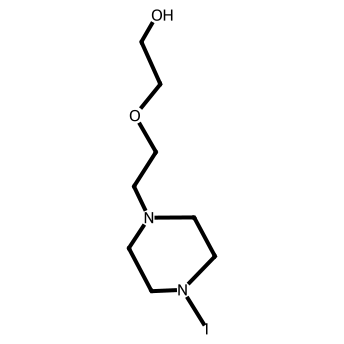 OCCOCCN1CCN(I)CC1